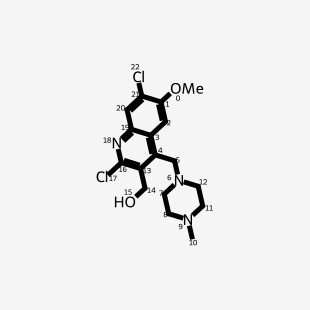 COc1cc2c(CN3CCN(C)CC3)c(CO)c(Cl)nc2cc1Cl